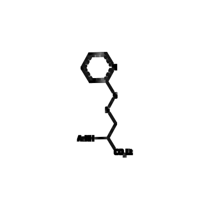 CCOC(=O)C(CSSc1ccccn1)NC(C)=O